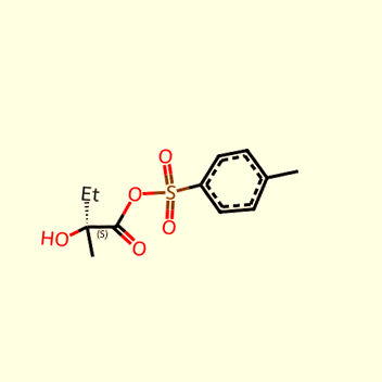 CC[C@](C)(O)C(=O)OS(=O)(=O)c1ccc(C)cc1